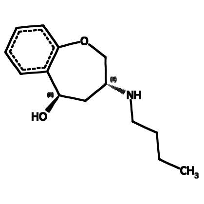 CCCCN[C@H]1COc2ccccc2[C@H](O)C1